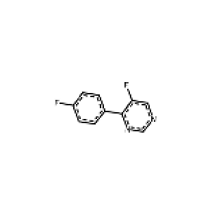 Fc1ccc(-c2ncncc2F)cc1